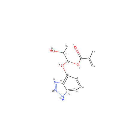 C=C(C)C(=O)OC(Oc1cccc2[nH]nnc12)C(C)O